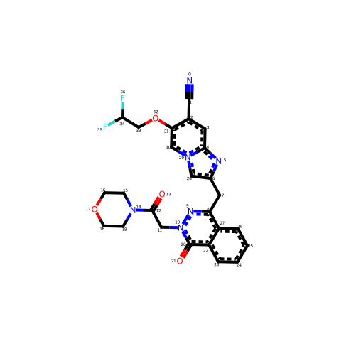 N#Cc1cc2nc(Cc3nn(CC(=O)N4CCOCC4)c(=O)c4ccccc34)cn2cc1OCC(F)F